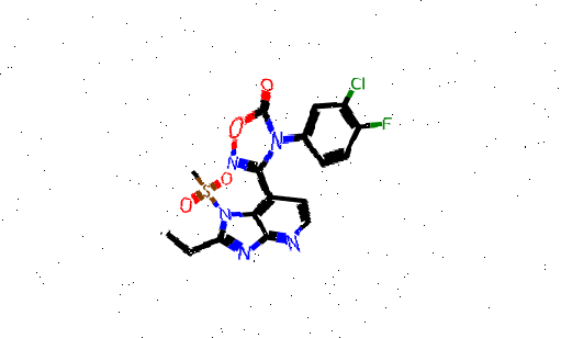 [CH2]Cc1nc2nccc(-c3noc(=O)n3-c3ccc(F)c(Cl)c3)c2n1S(C)(=O)=O